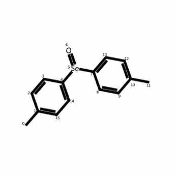 Cc1ccc([Se](=O)c2ccc(C)cc2)cc1